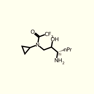 CCC[C@H](N)C(O)CN(C(=O)C(F)(F)F)C1CC1